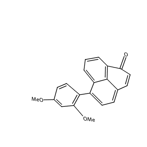 COc1ccc(-c2ccc3c4c(cccc24)C(=O)C=C3)c(OC)c1